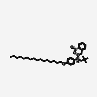 CCCCCCCCCCCCCCCCOc1ccc([SiH](CC(C)(C)C)OCc2ccccc2[N+](=O)[O-])cc1